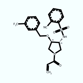 C=CC(=O)N1C[C@@H](NS(=O)(=O)c2ccccc2C#N)[C@H](OCc2cccc(C(F)(F)F)c2)C1